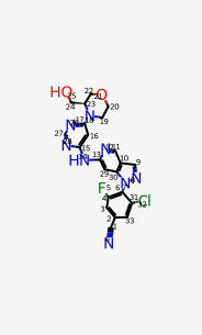 N#Cc1cc(F)c(-n2ncc3cnc(Nc4cc(N5CCOC[C@@H]5CO)ncn4)cc32)c(Cl)c1